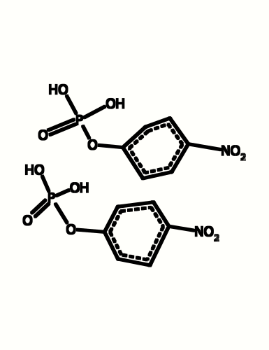 O=[N+]([O-])c1ccc(OP(=O)(O)O)cc1.O=[N+]([O-])c1ccc(OP(=O)(O)O)cc1